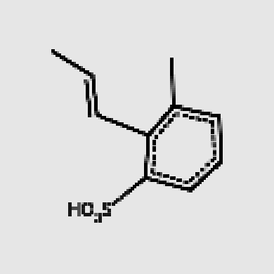 CC=Cc1c(C)cccc1S(=O)(=O)O